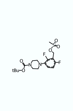 CC(C)(C)OC(=O)N1CCN(c2ccc(F)c(COS(C)(=O)=O)c2F)CC1